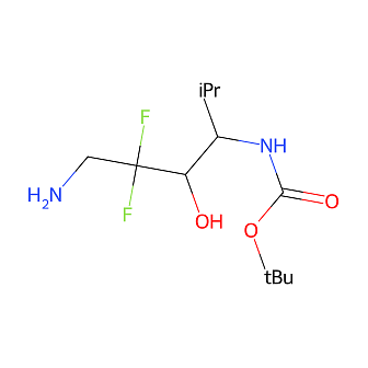 CC(C)C(NC(=O)OC(C)(C)C)C(O)C(F)(F)CN